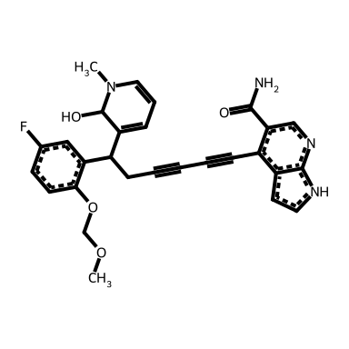 COCOc1ccc(F)cc1C(CC#CC#Cc1c(C(N)=O)cnc2[nH]ccc12)C1=CC=CN(C)C1O